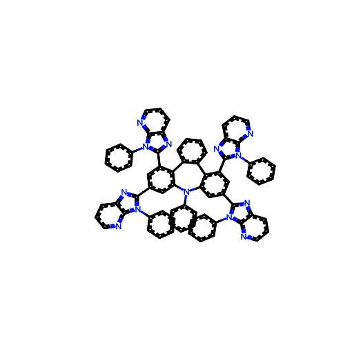 c1ccc(N2c3cc(-c4nc5cccnc5n4-c4ccccc4)cc(-c4nc5cccnc5n4-c4ccccc4)c3-c3ccccc3-c3c(-c4nc5cccnc5n4-c4ccccc4)cc(-c4nc5cccnc5n4-c4ccccc4)cc32)cc1